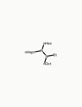 CCCCCCCCN(CC)N(CCCCCC)CCCCCCC